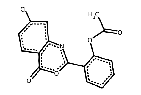 CC(=O)Oc1ccccc1-c1nc2cc(Cl)ccc2c(=O)o1